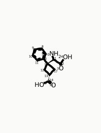 NC(C(=O)O)[C@]1(c2ccccc2)C[C@@H](C(=O)O)C1